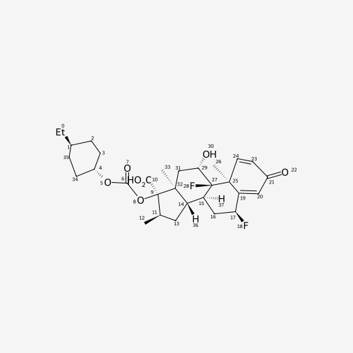 CC[C@H]1CC[C@H](OC(=O)O[C@]2(C(=O)O)[C@H](C)C[C@H]3[C@@H]4C[C@H](F)C5=CC(=O)C=C[C@]5(C)[C@@]4(F)[C@@H](O)C[C@@]32C)CC1